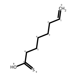 C=CCCCCCC(O)=S